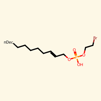 CCCCCCCCCCCCCCC/C=C/COP(=O)(O)OCCBr